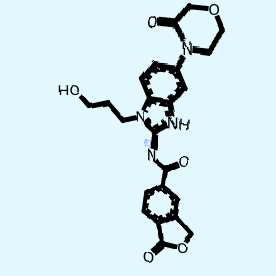 O=C(/N=c1\[nH]c2cc(N3CCOCC3=O)ccc2n1CCCO)c1ccc2c(c1)COC2=O